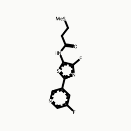 CSCCC(=O)Nc1sc(-c2cncc(F)c2)nc1F